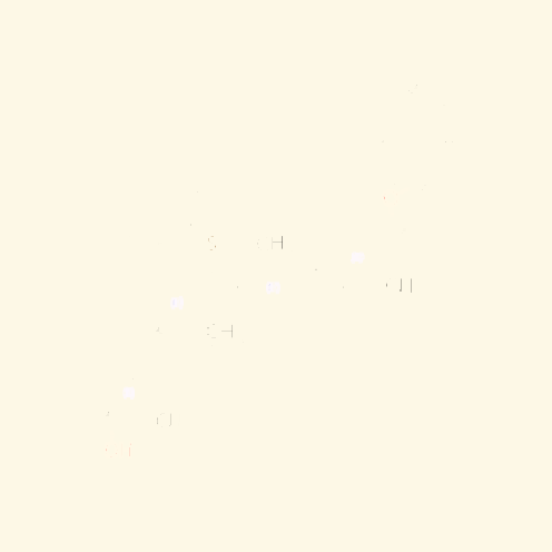 C/C(=C\CC/C(C)=C/C(C/C(C)=C/CC/C(C)=C/COCc1ccccc1)Sc1ccccc1)CO